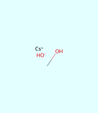 CO.[Cs+].[OH-]